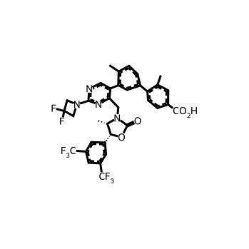 Cc1cc(C(=O)O)ccc1-c1ccc(C)c(-c2cnc(N3CC(F)(F)C3)nc2CN2C(=O)O[C@H](c3cc(C(F)(F)F)cc(C(F)(F)F)c3)[C@@H]2C)c1